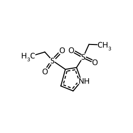 CCS(=O)(=O)c1cc[nH]c1S(=O)(=O)CC